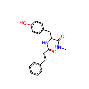 CNC(=O)C(Cc1ccc(O)cc1)NC(=O)/C=C/c1ccccc1